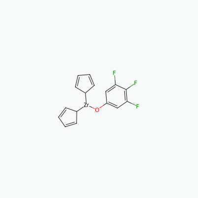 Fc1cc([O][Zr]([CH]2C=CC=C2)[CH]2C=CC=C2)cc(F)c1F